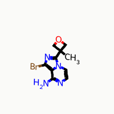 CC1(c2nc(Br)c3c(N)nccn23)COC1